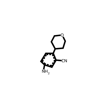 N#Cc1cc(N)ccc1C1CCOCC1